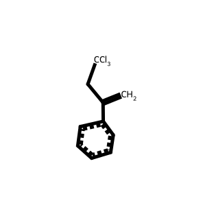 C=C(CC(Cl)(Cl)Cl)c1ccccc1